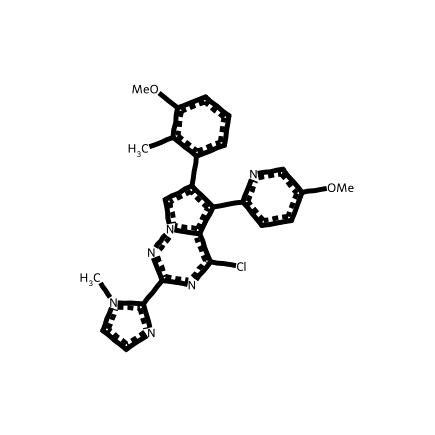 COc1ccc(-c2c(-c3cccc(OC)c3C)cn3nc(-c4nccn4C)nc(Cl)c23)nc1